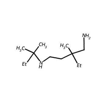 CCC(C)(CN)CCNC(C)(C)CC